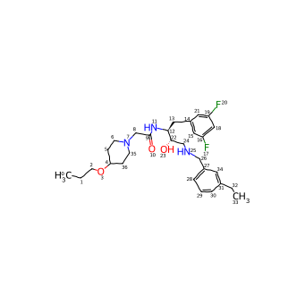 CCCOC1CCN(CC(=O)N[C@@H](Cc2cc(F)cc(F)c2)[C@@H](O)CNCc2cccc(CC)c2)CC1